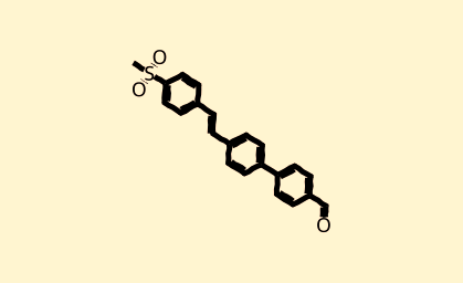 CS(=O)(=O)c1ccc(C=Cc2ccc(-c3ccc(C=O)cc3)cc2)cc1